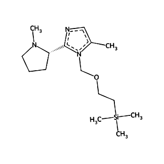 Cc1cnc([C@@H]2CCCN2C)n1COCC[Si](C)(C)C